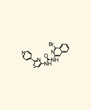 O=C(Nc1csc(-c2ccncc2)n1)Nc1cc2ccccc2c(Br)n1